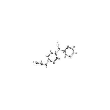 [N-]=[N+]=Nc1ccc(C(=O)c2ccccc2)cc1